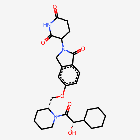 O=C1CCC(N2Cc3cc(OC[C@H]4CCCCN4C(=O)[C@@H](O)C4CCCCC4)ccc3C2=O)C(=O)N1